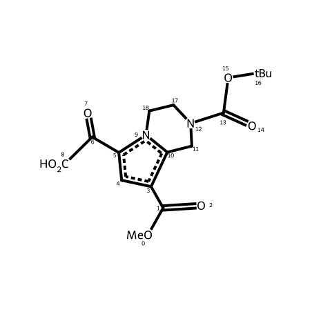 COC(=O)c1cc(C(=O)C(=O)O)n2c1CN(C(=O)OC(C)(C)C)CC2